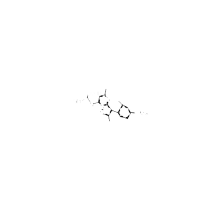 CCC[C@H](Nc1cc(C)nc2c(-c3ccc(OC)cc3C)c(C)nn12)C(=O)O